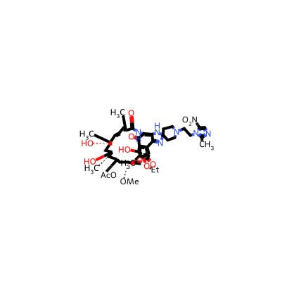 CCOc1c(C)c(O)c2c3c1C(=O)O/C=C/[C@H](OC)CC(OC(C)=O)[C@H](C)C(O)C[C@@H](O)C(C)/C=C/C=C(/C)C(=O)NC(=C1NC4(CCN(CCn5c([N+](=O)[O-])cnc5C)CC4)N=C13)C2=O